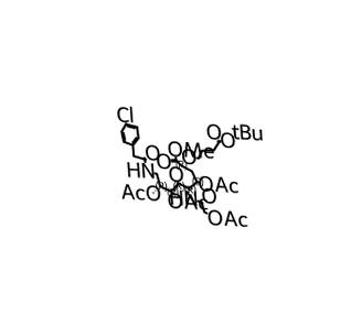 COC(=O)[C@@]1(OCCCC(=O)OC(C)(C)C)C[C@H](OC(C)=O)[C@@H](NC(=O)COC(C)=O)[C@H]([C@H](OC(C)=O)[C@@H](CNC(=O)Cc2ccc(Cl)cc2)OC(C)=O)O1